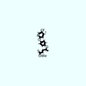 COC(=S)C=CC(C)Oc1ccc(Oc2ccc(C(F)(F)F)cn2)cc1